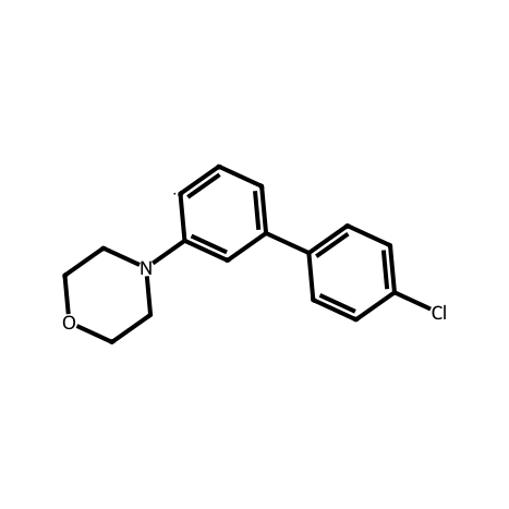 Clc1ccc(-c2cc[c]c(N3CCOCC3)c2)cc1